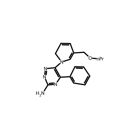 CCCOCC1=CN(c2nnc(N)nc2-c2ccccc2)CC=C1